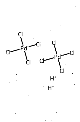 [Cl][Pd-]([Cl])([Cl])[Cl].[Cl][Pd-]([Cl])([Cl])[Cl].[H+].[H+]